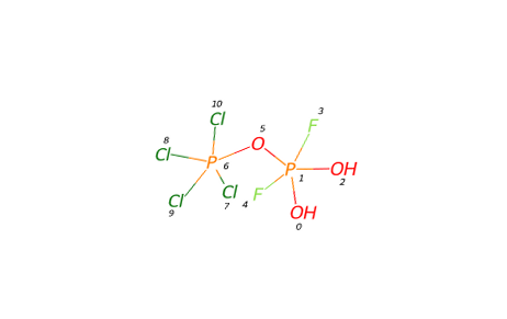 OP(O)(F)(F)OP(Cl)(Cl)(Cl)Cl